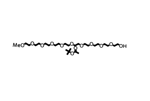 CC(=O)OC(C)(C)C.COCCOCCOCCOCCOCCOCCOCCOCCOCCOCCO